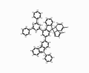 CC1=CC23C(C)=CC=C2C2(c4ccccc4-c4c(-c5nc(-c6ccccc6)nc(-c6ccccc6)n5)cc(-c5ccc6c(c5)c5ccccc5n6-c5ccccc5)cc42)C3C=C1